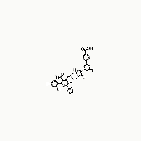 COC(=O)C1=C(CN2CCN3C(=O)N(c4cc(F)cc(-c5ccc(C(=O)O)cc5)c4)C[C@@H]3C2)NC(c2nccs2)=NC1c1ccc(F)cc1Cl